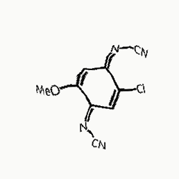 COC1=CC(=NC#N)C(Cl)=CC1=NC#N